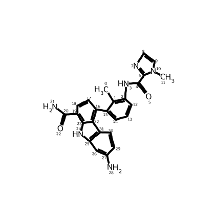 Cc1c(NC(=O)c2nccn2C)cccc1-c1ccc(C(N)=O)c2[nH]c3cc(N)ccc3c12